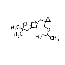 CC(C)OCC1(CN2CC(CC(C)(C)C)C2)CC1